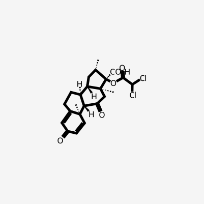 C[C@H]1C[C@H]2[C@@H]3CCC4=CC(=O)C=C[C@]4(C)[C@H]3C(=O)C[C@]2(C)[C@@]1(OC(=O)C(Cl)Cl)C(=O)O